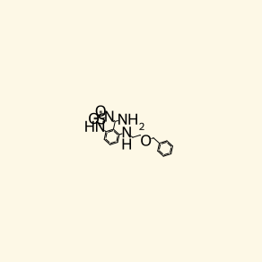 NC1=NS(=O)(=O)Nc2cccc(NCCOCc3ccccc3)c21